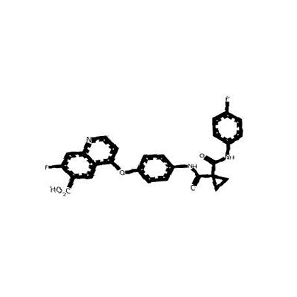 O=C(O)c1cc2c(Oc3ccc(NC(=O)C4(C(=O)Nc5ccc(F)cc5)CC4)cc3)ccnc2cc1F